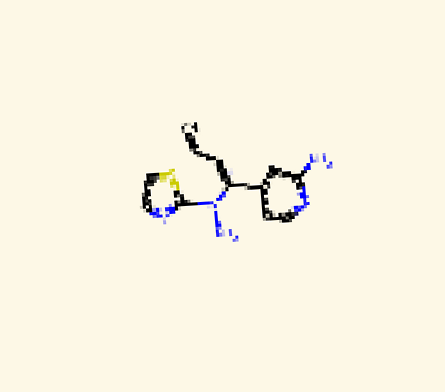 C=C/C=C(/c1ccnc(N)c1)N(N)c1nccs1